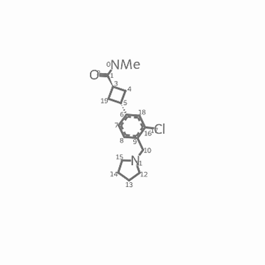 CNC(=O)[C@H]1C[C@H](c2ccc(CN3CCCC3)c(Cl)c2)C1